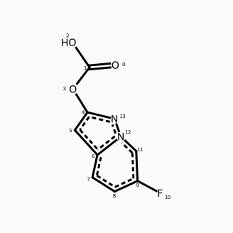 O=C(O)Oc1cc2ccc(F)cn2n1